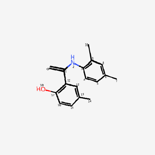 C=C(Nc1ccc(C)cc1C)c1cc(C)ccc1O